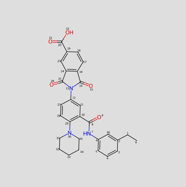 CCc1cccc(NC(=O)c2cc(N3C(=O)c4ccc(C(=O)O)cc4C3=O)ccc2N2CCCCC2)c1